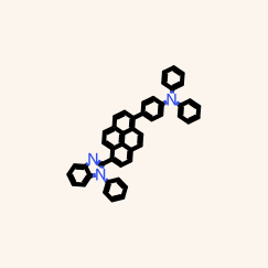 c1ccc(N(c2ccccc2)c2ccc(-c3ccc4ccc5c(-c6nc7ccccc7n6-c6ccccc6)ccc6ccc3c4c65)cc2)cc1